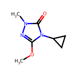 [CH2]n1nc(OC)n(C2CC2)c1=O